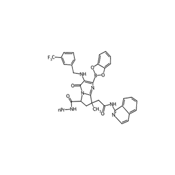 CCCNC(=O)C1CC(C)(CC(=O)Nc2nccc3ccccc23)c2nc(B3Oc4ccccc4O3)c(NCc3cccc(C(F)(F)F)c3)c(=O)n21